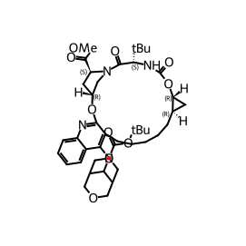 COC(=O)[C@@H]1C[C@@H]2CN1C(=O)[C@H](C(C)(C)C)NC(=O)O[C@@H]1C[C@H]1CCCCCc1c(nc3ccccc3c1OC1C3COCC1CN(C(=O)OC(C)(C)C)C3)O2